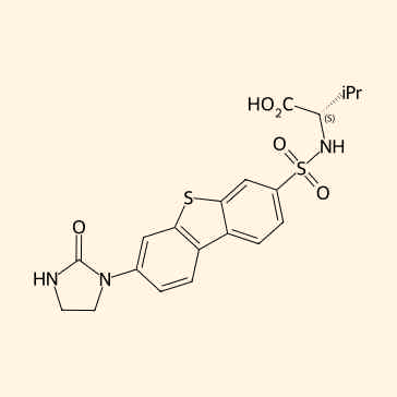 CC(C)[C@H](NS(=O)(=O)c1ccc2c(c1)sc1cc(N3CCNC3=O)ccc12)C(=O)O